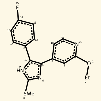 CCOc1cc(-c2nc(SC)[nH]c2-c2ccc(F)cc2)ccn1